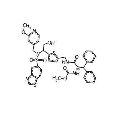 COC(=O)N[C@H](C(=O)NCc1ccc(C(CO)N(Cc2ccnc(OC)c2)S(=O)(=O)c2ccc3scnc3c2)s1)C(c1ccccc1)c1ccccc1